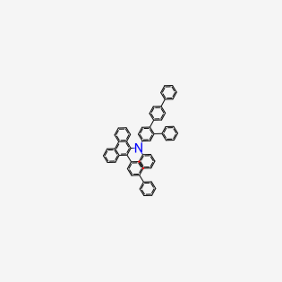 c1ccc(-c2ccc(-c3ccc(N(c4ccccc4)c4c(-c5ccc(-c6ccccc6)cc5)c5ccccc5c5ccccc45)cc3-c3ccccc3)cc2)cc1